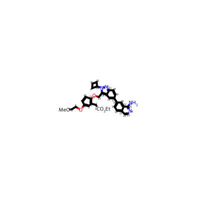 CCOC(=O)Cc1cc(OCCOC)ccc1OCc1c2cc(-c3ccc4ccnc(N)c4c3)ccc2nn1C1CCC1